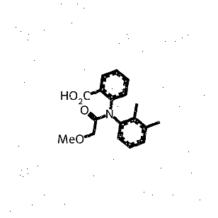 COCC(=O)N(c1ccccc1C(=O)O)c1cccc(C)c1C